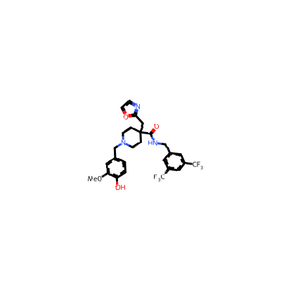 COc1cc(CN2CCC(Cc3ncco3)(C(=O)NCc3cc(C(F)(F)F)cc(C(F)(F)F)c3)CC2)ccc1O